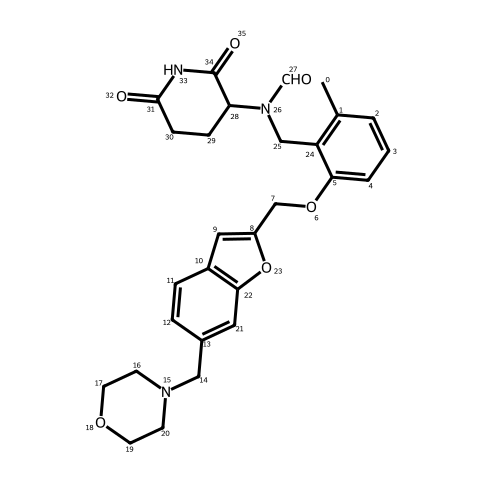 Cc1cccc(OCc2cc3ccc(CN4CCOCC4)cc3o2)c1CN(C=O)C1CCC(=O)NC1=O